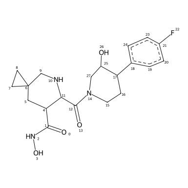 O=C(NO)C1CC2(CC2)CNC1C(=O)N1CCC(c2ccc(F)cc2)C(O)C1